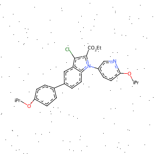 CCOC(=O)c1c(Cl)c2cc(-c3ccc(OC(C)C)cc3)ccc2n1-c1ccc(OC(C)C)nc1